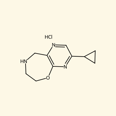 Cl.c1nc2c(nc1C1CC1)OCCNC2